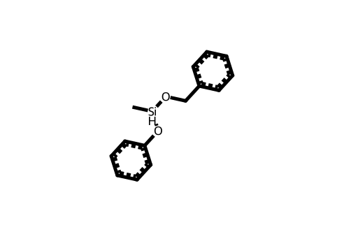 C[SiH](OCc1ccccc1)Oc1ccccc1